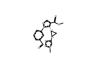 COC(=O)c1cnn(-c2cccc(C=O)c2)c1[C@@H]1C[C@H]1c1cn(C)nn1